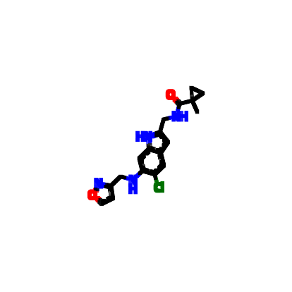 CC1(C(=O)NCc2cc3cc(Cl)c(NCc4ccon4)cc3[nH]2)CC1